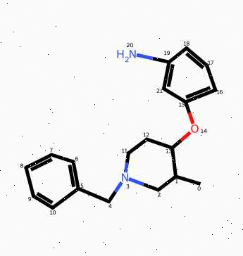 CC1CN(Cc2ccccc2)CCC1Oc1cccc(N)c1